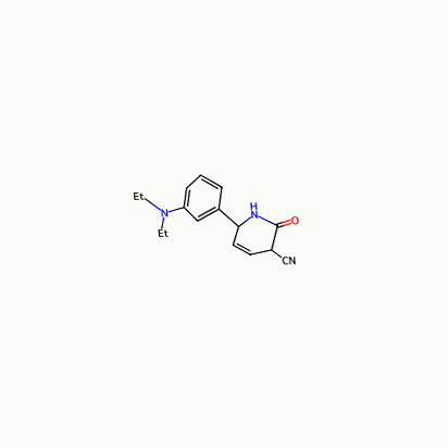 CCN(CC)c1cccc(C2C=CC(C#N)C(=O)N2)c1